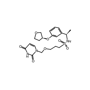 C[C@@H](NS(=O)(=O)CCCOCn1ccc(=O)[nH]c1=O)c1cccc(O[C@H]2CCOC2)c1